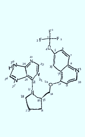 FC(F)(F)Oc1ccc2nccc(OC[C@H]3CCCN3c3ncnc4[nH]cnc34)c2c1